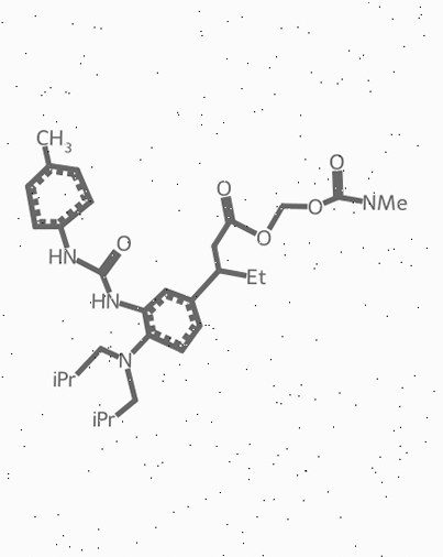 CCC(CC(=O)OCOC(=O)NC)c1ccc(N(CC(C)C)CC(C)C)c(NC(=O)Nc2ccc(C)cc2)c1